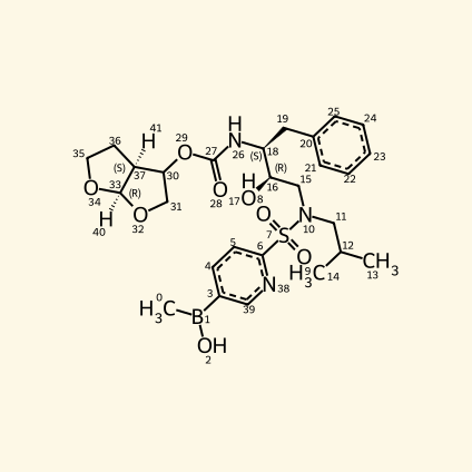 CB(O)c1ccc(S(=O)(=O)N(CC(C)C)C[C@@H](O)[C@H](Cc2ccccc2)NC(=O)OC2CO[C@H]3OCC[C@@H]23)nc1